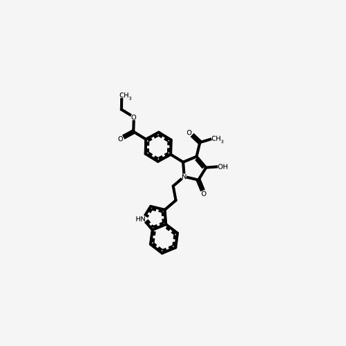 CCOC(=O)c1ccc(C2C(C(C)=O)=C(O)C(=O)N2CCc2c[nH]c3ccccc23)cc1